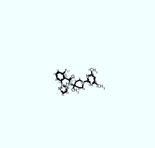 Cc1cc(C)nc(N2CCC(C)(NC(=O)c3c(F)cccc3-n3nccn3)CC2)n1